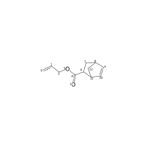 C=CCOC(=O)C1CC2C=CC1C2